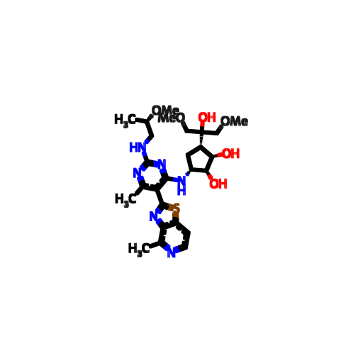 COCC(O)(COC)[C@H]1C[C@@H](Nc2nc(NC[C@@H](C)OC)nc(C)c2-c2nc3c(C)nccc3s2)[C@H](O)[C@@H]1O